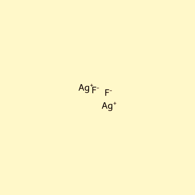 [Ag+].[Ag+].[F-].[F-]